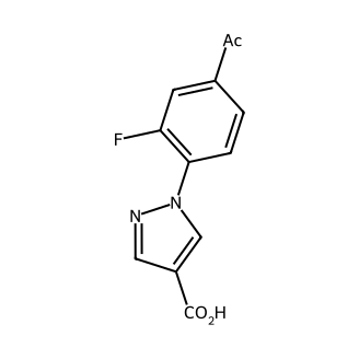 CC(=O)c1ccc(-n2cc(C(=O)O)cn2)c(F)c1